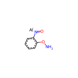 NOc1ccccc1N=O.[Al]